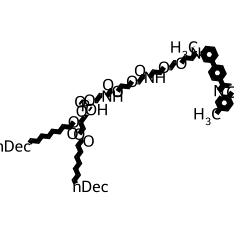 CCCCCCCCCCCCCCCCCC(=O)OCC(COP(=O)(O)OCCNC(=O)OCCOCC(=O)NCCOCCOCCN(C)c1cccc(-c2ccc(C3=Nc4cc(C)ccc4OC3)cc2)c1)OC(=O)CCCCCCCCCCCCCCCCC